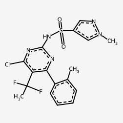 Cc1ccccc1-c1nc(NS(=O)(=O)c2cnn(C)c2)nc(Cl)c1C(C)(F)F